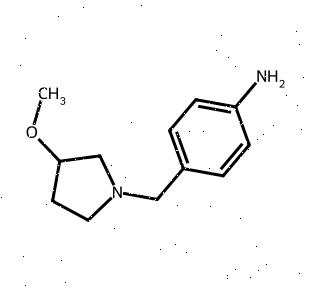 COC1CCN(Cc2ccc(N)cc2)C1